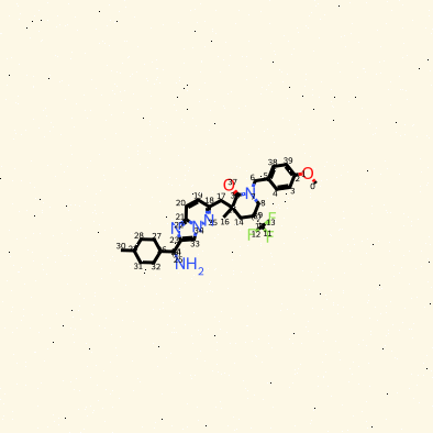 COc1ccc(CN2C[C@H](C(F)(F)F)CC(C)(Cc3ccc4nc([C@@H](N)C5CCC(C)CC5)cn4n3)C2=O)cc1